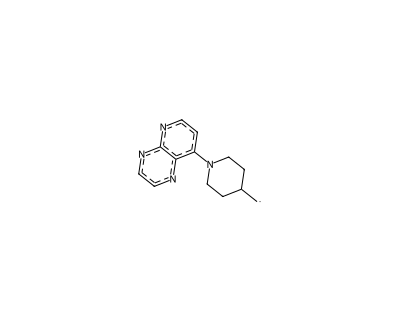 [CH2]C1CCN(c2ccnc3nccnc23)CC1